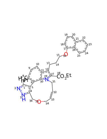 CCCc1n[nH]c2c1-c1c(C)ccc3c(CCCOc4cccc5ccccc45)c(C(=O)OCC)n(c13)C/C=C\COC2